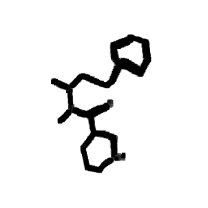 CN(CCc1ccccc1)N(C)C(=O)C1CCCNC1